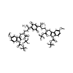 COc1ccc2c(c1)c(CN(CCC(N)C1=CC(=O)C(C(N)CCN(Cc3cn(C(=O)OC(C)(C)C)c4ccc(OC)cc34)C(=O)OC(C)(C)C)=CC1=O)C(=O)OC(C)(C)C)cn2C(=O)OC(C)(C)C